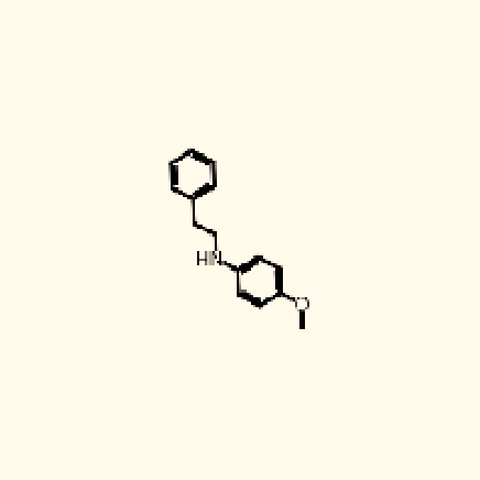 COc1ccc(NCCc2ccccc2)cc1